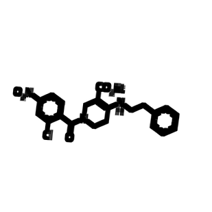 CCOC(=O)C1=C(NCCc2ccccc2)CCN(C(=O)c2ccc([N+](=O)[O-])cc2Cl)C1